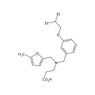 CCC(CC)COc1cccc(CN(CCC(=O)O)Cc2ccc(C)o2)c1